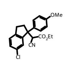 CCOC(=O)C(C#N)C1(c2ccc(OC)cc2)CCc2ccc(Cl)cc21